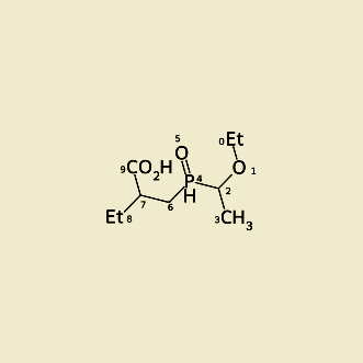 CCOC(C)[PH](=O)CC(CC)C(=O)O